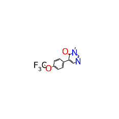 Cn1cncc(-c2ccc(OC(F)(F)F)cc2)c1=O